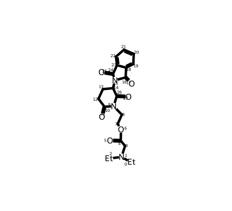 CCN(CC)CC(=O)OCCN1C(=O)CCC(N2C(=O)c3ccccc3C2=O)C1=O